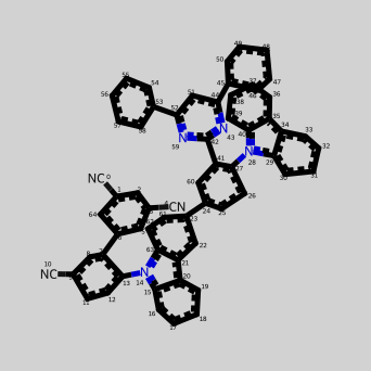 N#Cc1cc(C#N)cc(-c2cc(C#N)ccc2-n2c3ccccc3c3cc(-c4ccc(-n5c6ccccc6c6ccccc65)c(-c5nc(-c6ccccc6)cc(-c6ccccc6)n5)c4)ccc32)c1